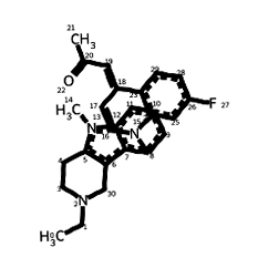 CCN1CCc2c(c3c4cc(cc3n2C)N4/C=C\C(=C/C(C)=O)c2ccc(F)cc2)C1